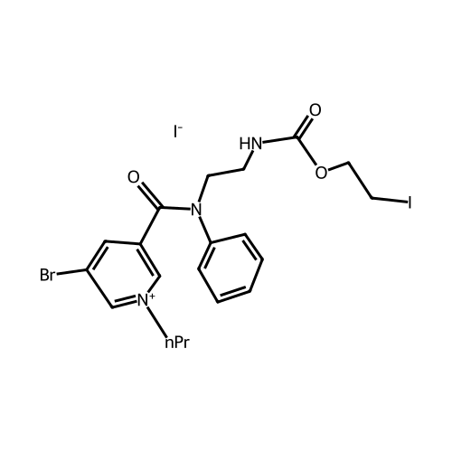 CCC[n+]1cc(Br)cc(C(=O)N(CCNC(=O)OCCI)c2ccccc2)c1.[I-]